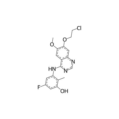 COc1cc2c(Nc3cc(F)cc(O)c3C)ncnc2cc1OCCCl